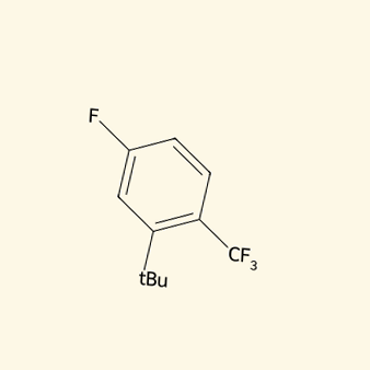 CC(C)(C)c1cc(F)ccc1C(F)(F)F